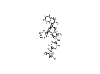 Cc1nc2ccccc2n1-c1nc(N2CCOCC2)c2nc(CN3CCN(C(C)(C)C(N)=O)CC3)n(C)c2n1